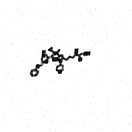 C[C@@H](c1cc(CCCNC(=O)CO)n(C2CCOCC2)n1)N(C(=O)[C@H]1CNC[C@@H](COc2ccccc2)O1)C1CC1